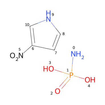 NP(=O)(O)O.O=[N+]([O-])c1cc[nH]c1